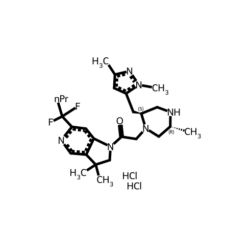 CCCC(F)(F)c1cc2c(cn1)C(C)(C)CN2C(=O)CN1C[C@@H](C)NC[C@@H]1Cc1cc(C)nn1C.Cl.Cl